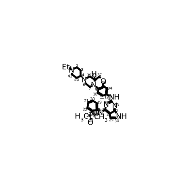 CCN1CCC(N2CCN3c4ccc(Nc5nc(Nc6ccccc6P(C)(C)=O)c6cc[nH]c6n5)cc4OC[C@H]3C2)CC1